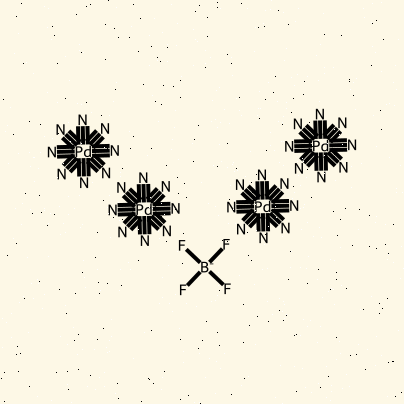 F[B-](F)(F)F.[N]#[Pd](#[N])(#[N])(#[N])(#[N])(#[N])(#[N])#[N].[N]#[Pd](#[N])(#[N])(#[N])(#[N])(#[N])(#[N])#[N].[N]#[Pd](#[N])(#[N])(#[N])(#[N])(#[N])(#[N])#[N].[N]#[Pd](#[N])(#[N])(#[N])(#[N])(#[N])(#[N])#[N]